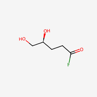 O=C(F)CC[C@H](O)CO